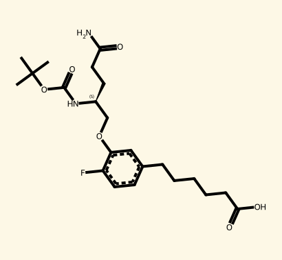 CC(C)(C)OC(=O)N[C@@H](CCC(N)=O)COc1cc(CCCCCC(=O)O)ccc1F